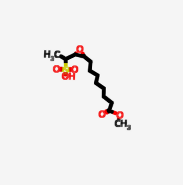 COC(=O)CCCCCCCC1OC1C(C)S(=O)(=O)O